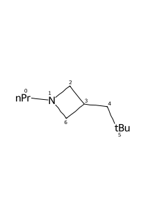 CCCN1CC(CC(C)(C)C)C1